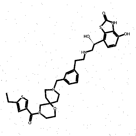 CCc1cc(C(=O)N2CCOC3(CCN(Cc4cccc(CCNC[C@H](O)c5ccc(O)c6[nH]c(=O)sc56)c4)CC3)C2)cs1